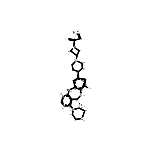 C=CC(=O)N1CC(N2CCC(c3cc(F)c4c(c3)Nc3ncnc(N5CCOCC5)c3[C@@H](C)O4)CC2)C1